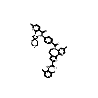 Cc1cnc2c(c1)N(C(=O)c1ccc(NC(=O)c3ccc(C)nc3N3CC4(CCOCC4)C3)cc1)CCc1cc(C(=O)Nc3c(C)cccc3F)sc1-2